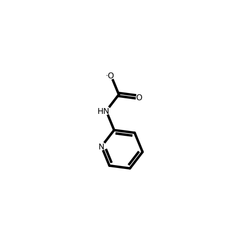 [O]C(=O)Nc1ccccn1